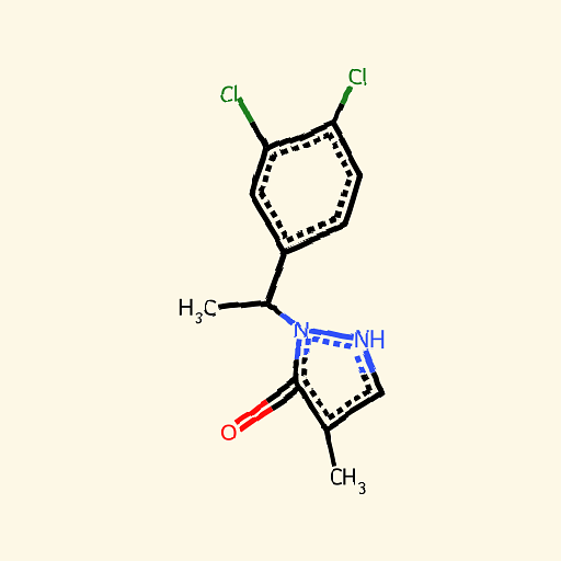 Cc1c[nH]n(C(C)c2ccc(Cl)c(Cl)c2)c1=O